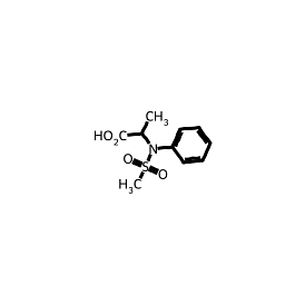 CC(C(=O)O)N(c1ccccc1)S(C)(=O)=O